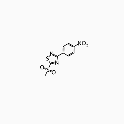 CS(=O)(=O)c1nc(-c2ccc([N+](=O)[O-])cc2)ns1